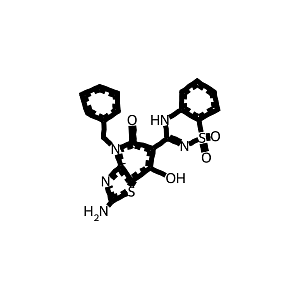 Nc1nc2c(s1)c(O)c(C1=NS(=O)(=O)c3ccccc3N1)c(=O)n2Cc1ccccc1